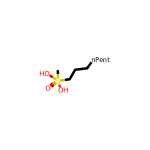 CCCCCCCCS(C)(=O)(O)O